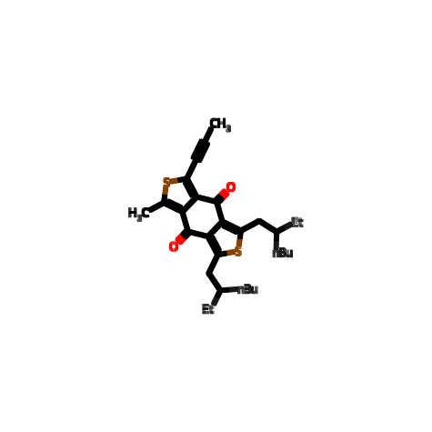 CC#Cc1sc(C)c2c1C(=O)c1c(CC(CC)CCCC)sc(CC(CC)CCCC)c1C2=O